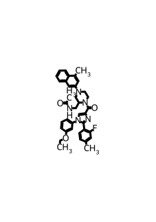 CCOc1cccc(-n2cc(C(=O)N3CCN(c4cc(C)c5ccccc5c4)CC3CNC(C)=O)nc2-c2ccc(C)cc2F)c1